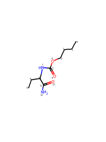 CCCCOC(=O)NC(CC)C(N)=O